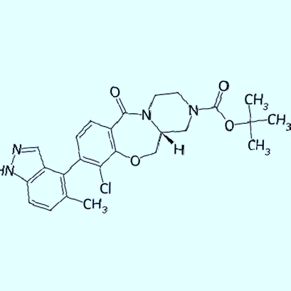 Cc1ccc2[nH]ncc2c1-c1ccc2c(c1Cl)OC[C@H]1CN(C(=O)OC(C)(C)C)CCN1C2=O